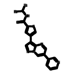 CCC(CC)NC(=O)c1cc(-c2cnn3cc(-c4cccnc4)cnc23)cs1